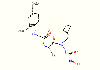 COc1ccc(NC(=O)N[C@H](C(=O)N(CC(=O)NO)CC2CCC2)C(C)C)c(OC)c1